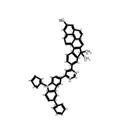 CC(C)(C)c1cc2ccc3cc4c(c5ccc(c1)c2c35)-c1ccc(-c2cc(-c3ccc5c(c3)c3cc(-c6ccccc6)ccc3n5-c3ccccc3)ncn2)cc1C4(C)C